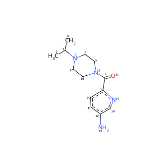 CC(C)N1CCN(C(=O)c2ccc(N)cn2)CC1